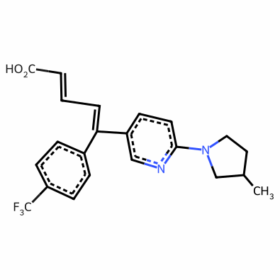 CC1CCN(c2ccc(C(=CC=CC(=O)O)c3ccc(C(F)(F)F)cc3)cn2)C1